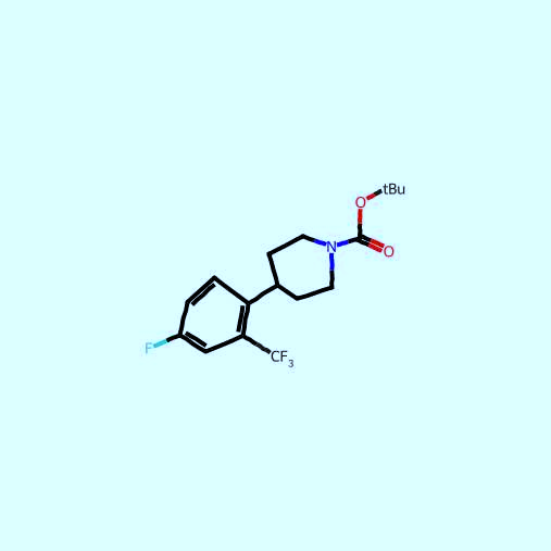 CC(C)(C)OC(=O)N1CCC(c2ccc(F)cc2C(F)(F)F)CC1